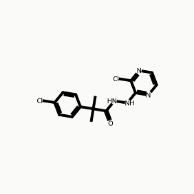 CC(C)(C(=O)NNc1nccnc1Cl)c1ccc(Cl)cc1